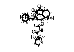 CO[C@@H]1CCC23CC[C@H]4C[C@@]4(C12)[C@H](OC(=O)NC(=O)[C@H]1CN2CC[C@@H]1C2)C[C@@](C)(Cc1ccncc1)C(=O)[C@@H]3C